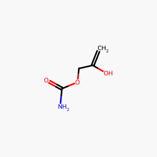 C=C(O)COC(N)=O